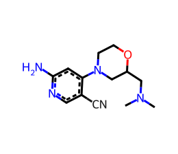 CN(C)CC1CN(c2cc(N)ncc2C#N)CCO1